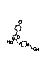 Cl.OCCN1CCN(Cc2ncc(-c3ccc(Cl)cc3)o2)CC1